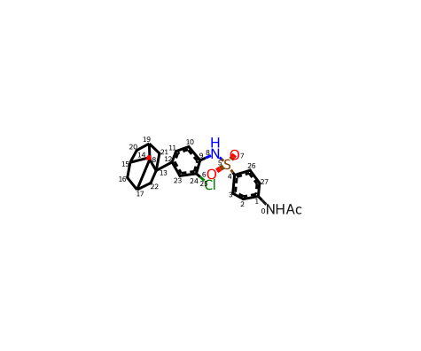 CC(=O)Nc1ccc(S(=O)(=O)Nc2ccc(C34CC5CC(CC(C5)C3)C4)cc2Cl)cc1